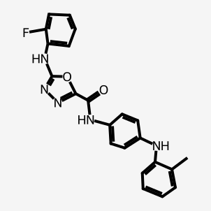 Cc1ccccc1Nc1ccc(NC(=O)c2nnc(Nc3ccccc3F)o2)cc1